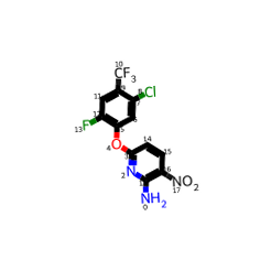 Nc1nc(Oc2cc(Cl)c(C(F)(F)F)cc2F)ccc1[N+](=O)[O-]